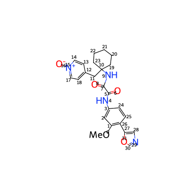 COc1cc(NC(=O)C(=O)NC2(Cc3cc[n+]([O-])cc3)CCCCC2)ccc1-c1cnco1